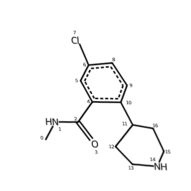 CNC(=O)c1cc(Cl)ccc1C1CCNCC1